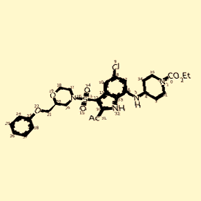 CCOC(=O)N1CCC(Nc2cc(Cl)cc3c(S(=O)(=O)N4CCO[C@H](COc5ccccc5)C4)c(C(C)=O)[nH]c23)CC1